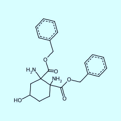 NC1(C(=O)OCc2ccccc2)CCC(O)CC1(N)C(=O)OCc1ccccc1